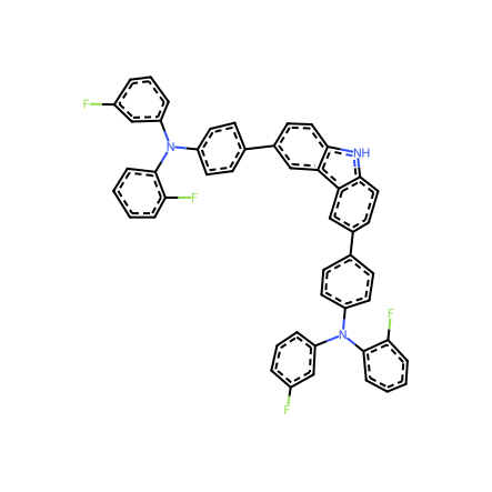 Fc1cccc(N(c2ccc(-c3ccc4[nH]c5ccc(-c6ccc(N(c7cccc(F)c7)c7ccccc7F)cc6)cc5c4c3)cc2)c2ccccc2F)c1